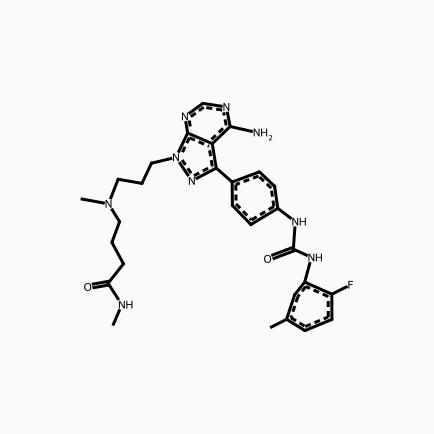 CNC(=O)CCCN(C)CCCn1nc(-c2ccc(NC(=O)Nc3cc(C)ccc3F)cc2)c2c(N)ncnc21